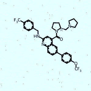 O=C(c1cc(NCc2ccc(C(F)(F)F)cc2)nc2ccc(-c3ccc(OC(F)(F)F)cc3)cc12)N1CCC[C@H]1CN1CCCC1